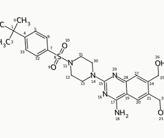 CC(C)(C)c1ccc(S(=O)(=O)N2CCN(c3nc(N)c4cc(CO)c(CO)cc4n3)CC2)cc1